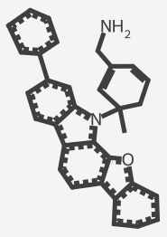 CC1(n2c3cc(-c4ccccc4)ccc3c3ccc4c5ccccc5oc4c32)C=C(CN)C=CC1